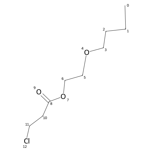 CCCCOCCOC(=O)CCCl